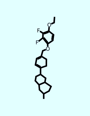 CCOc1ccc(OCC2=CC=C(C3CCC4CC(C)CCC4C3)CC2)c(F)c1F